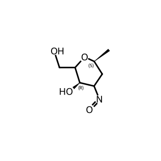 C[C@H]1CC(N=O)[C@@H](O)C(CO)O1